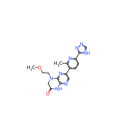 COCCN1CC(=O)Nc2ncc(-c3ccc(-c4nnc[nH]4)nc3C)nc21